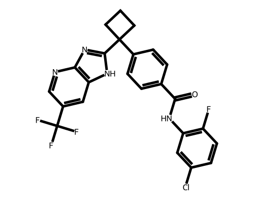 O=C(Nc1cc(Cl)ccc1F)c1ccc(C2(c3nc4ncc(C(F)(F)F)cc4[nH]3)CCC2)cc1